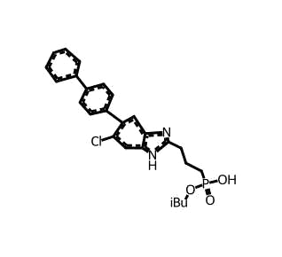 CCC(C)OP(=O)(O)CCCc1nc2cc(-c3ccc(-c4ccccc4)cc3)c(Cl)cc2[nH]1